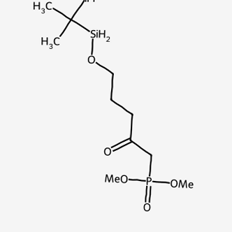 COP(=O)(CC(=O)CCCO[SiH2]C(C)(C)C(C)C)OC